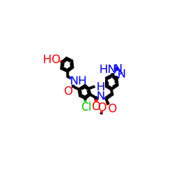 COC(=O)C(=Cc1ccc2[nH]nnc2c1)NC(=O)c1c(C)cc(C(=O)NCc2cccc(O)c2)cc1Cl